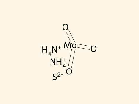 [NH4+].[NH4+].[O]=[Mo](=[O])=[O].[S-2]